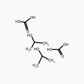 CC(C)O.CC(C)O.O=C(O)O.O=C(O)O